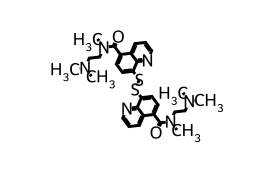 CN(C)CCN(C)C(=O)c1ccc(SSc2ccc(C(=O)N(C)CCN(C)C)c3cccnc23)c2ncccc12